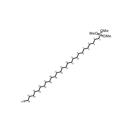 CO[Si](CCCCCCCCCCCCCCCCCCCCCCCCCCCI)(OC)OC